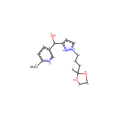 COc1ccc(C(O)c2ccn(CCCC3(C)OCCO3)n2)cn1